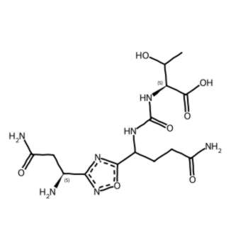 CC(O)[C@H](NC(=O)NC(CCC(N)=O)c1nc([C@@H](N)CC(N)=O)no1)C(=O)O